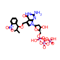 CC(C)C(OCc1cn([C@H]2CC(O)[C@@H](COP(=O)(O)OP(=O)(O)OP(=O)(O)O)O2)c2nc(N)[nH]c(=O)c12)c1ccccc1[N+](=O)[O-]